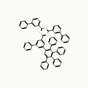 c1ccc(-c2cccc(-c3nc(-c4cccc(-c5ccccc5)c4)nc(-c4cc(-c5ccccc5)cc(-c5cc(-c6ccccc6)c(-c6ccccc6)c(-c6ccccc6)c5-c5ccccc5)c4)n3)c2)cc1